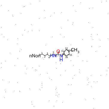 CCCCCCCCCCCCCCNC(=O)Nc1ccc(C)cc1